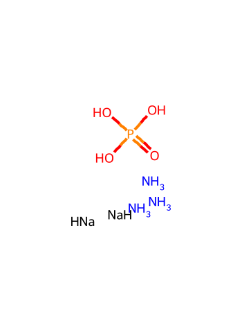 N.N.N.O=P(O)(O)O.[NaH].[NaH]